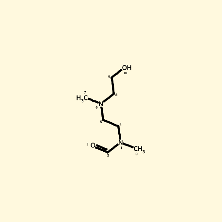 CN(C=O)CCN(C)CCO